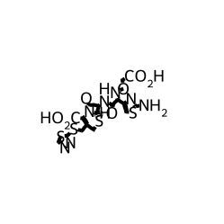 Nc1nc(C(=NOCC(=O)O)C(=O)NC2C(=O)N3C(C(=O)O)=C(CSc4nncs4)CS[C@@H]23)cs1